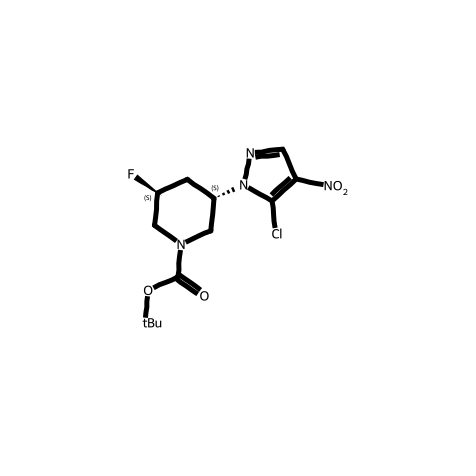 CC(C)(C)OC(=O)N1C[C@@H](F)C[C@H](n2ncc([N+](=O)[O-])c2Cl)C1